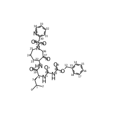 CC(C)C[C@H](NC(=O)NC(=O)OCc1ccccc1)C(=O)NC1CCCN(S(=O)(=O)c2ccccn2)CC1=O